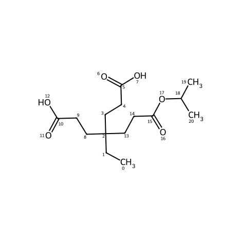 CCC(CCC(=O)O)(CCC(=O)O)CCC(=O)OC(C)C